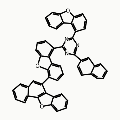 c1ccc2cc(-c3nc(-c4cccc5oc6ccccc6c45)nc(-c4cccc5oc6c(-c7cc8ccccc8c8oc9ccccc9c78)cccc6c45)n3)ccc2c1